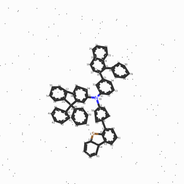 C1=CC2Sc3c(-c4ccc(N(c5cccc(-c6ccc7ccccc7c6-c6ccccc6)c5)c5ccc6c(c5)C(c5ccccc5)(c5ccccc5)c5ccccc5-6)cc4)cccc3C2C=C1